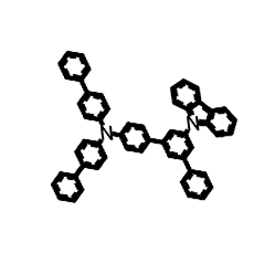 c1ccc(-c2ccc(N(c3ccc(-c4ccccc4)cc3)c3ccc(-c4cc(-c5ccccc5)cc(-n5c6ccccc6c6ccccc65)c4)cc3)cc2)cc1